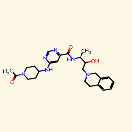 CC(=O)N1CCC(Nc2cc(C(=O)N[C@@H](C)C(O)CN3CCc4ccccc4C3)ncn2)CC1